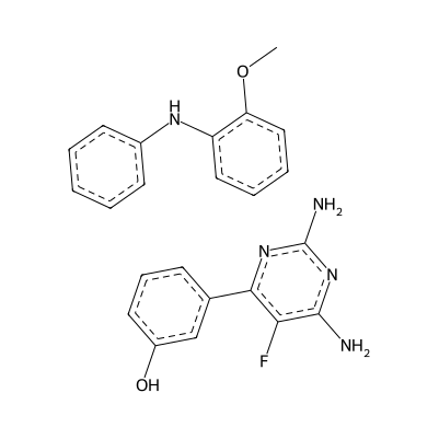 COc1ccccc1Nc1ccccc1.Nc1nc(N)c(F)c(-c2cccc(O)c2)n1